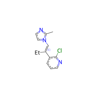 CC/C(=C\n1ccnc1C)c1cccnc1Cl